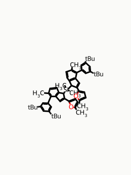 Cc1ccc(C2=Cc3c(ccc(C)c3-c3cc(C(C)(C)C)cc(C(C)(C)C)c3)C2[Si](C)(C)C2C(c3ccc(C)o3)=Cc3c2ccc(C)c3-c2cc(C(C)(C)C)cc(C(C)(C)C)c2)o1